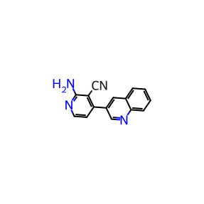 N#Cc1c(-c2cnc3ccccc3c2)ccnc1N